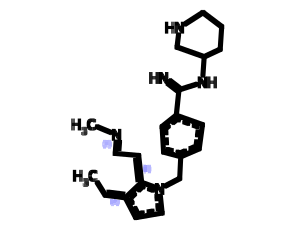 C/C=c1/ccn(Cc2ccc(C(=N)NC3CCCNC3)cc2)/c1=C/C=N/C